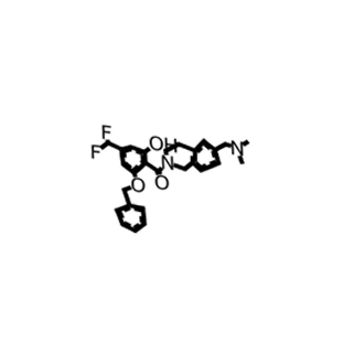 CN(C)Cc1ccc2c(c1)CCN(C(=O)c1c(O)cc(C(F)F)cc1OCc1ccccc1)C2